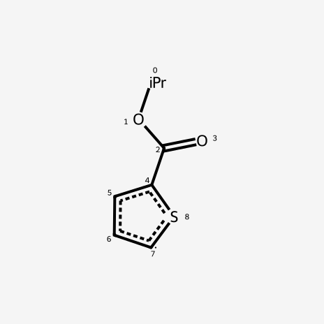 CC(C)OC(=O)c1cc[c]s1